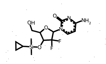 C[Si](C)(OC1C(CO)OC(n2ccc(N)nc2=O)C1(F)F)C1CC1